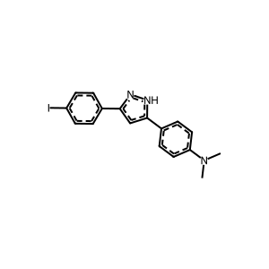 CN(C)c1ccc(-c2cc(-c3ccc(I)cc3)n[nH]2)cc1